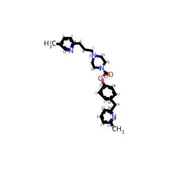 Cc1ccc(CCCN2CCN(C(=O)Oc3ccc(Cc4cccc(C)n4)cc3)CC2)nc1